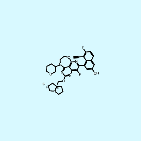 C#Cc1c(F)ccc2cc(O)cc(-c3nc4c5c(nc(OC[C@@]67CCCN6C[C@H](F)C7)nc5c3F)N(C3CCCOC3)CCO4)c12